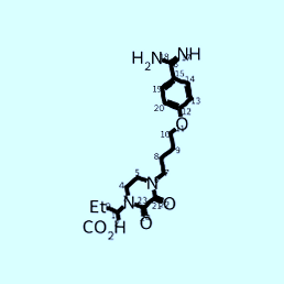 CCC(C(=O)O)N1CCN(CCCCOc2ccc(C(=N)N)cc2)C(=O)C1=O